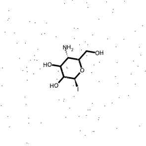 N[C@@H]1C(CO)O[C@@H](I)C(O)C1O